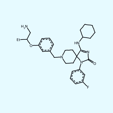 CCC(CN)Oc1cccc(CN2CCC3(CC2)C(NC2CCCCC2)=NC(=O)N3c2cccc(F)c2)c1